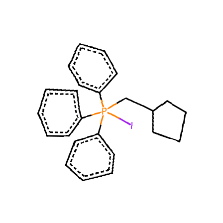 IP(CC1CCCC1)(c1ccccc1)(c1ccccc1)c1ccccc1